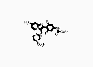 COC(=O)Nc1cc(F)c(-c2nc3cc(C)ccn3c2C[C@H]2CN(C(=O)O)CCO2)c(F)c1